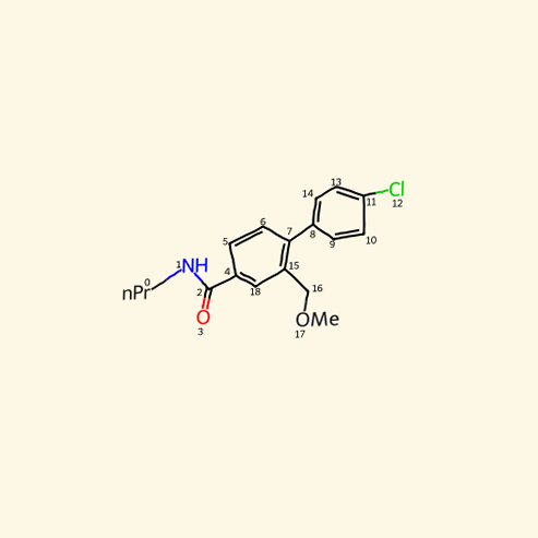 CCCNC(=O)c1ccc(-c2ccc(Cl)cc2)c(COC)c1